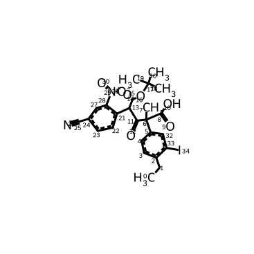 CCc1ccc(C(C)(C(=O)O)C(=O)C(C(=O)OC(C)(C)C)c2ccc(C#N)cc2[N+](=O)[O-])cc1I